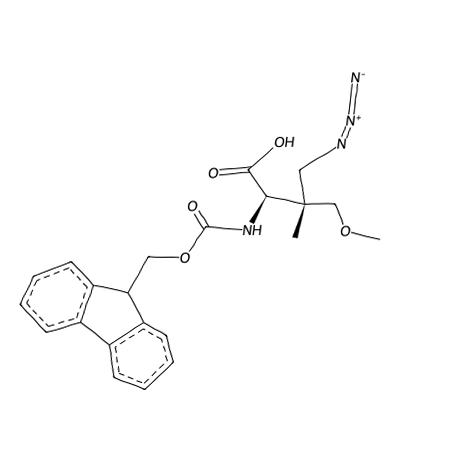 COC[C@@](C)(CN=[N+]=[N-])[C@@H](NC(=O)OCC1c2ccccc2-c2ccccc21)C(=O)O